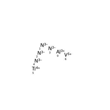 [Al+3].[N-3].[N-3].[N-3].[N-3].[Ti+4].[V+5]